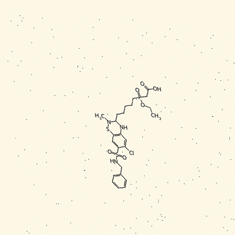 CCOP(=O)(CCCCCC1Nc2cc(Cl)c(S(=O)(=O)NCc3ccccc3)cc2SN1C)CC(=O)O